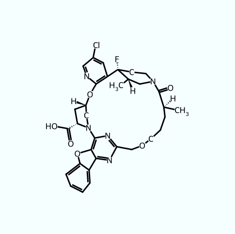 C[C@H]1CCCOCc2nc(c3oc4ccccc4c3n2)N2C[C@H](C[C@H]2C(=O)O)Oc2ncc(Cl)cc2[C@@]2(F)CCN(C[C@@H]2C)C1=O